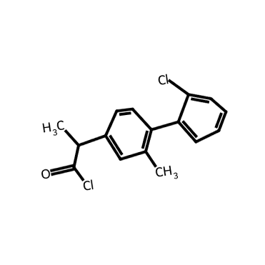 Cc1cc(C(C)C(=O)Cl)ccc1-c1ccccc1Cl